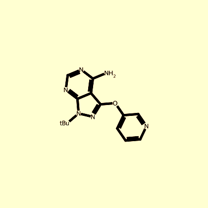 CC(C)(C)n1nc(Oc2cccnc2)c2c(N)ncnc21